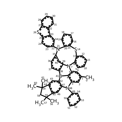 Cc1cc2c3c(c1)N1c4ccccc4Sc4ccccc4N(c4ccc5sc6ccccc6c5c4)c4ccc(c1c4)B3c1cc3c(cc1N2c1ccccc1)C(C)(C)CC3(C)C